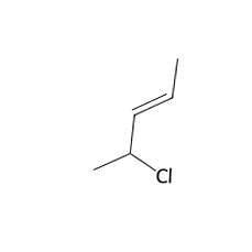 CC=CC(C)Cl